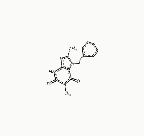 Cc1nc2[nH]c(=O)n(C)c(=O)c2n1Cc1ccccc1